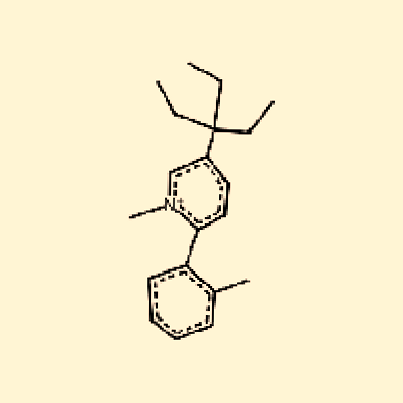 CCC(CC)(CC)c1ccc(-c2ccccc2C)[n+](C)c1